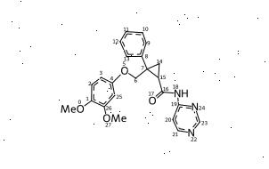 COc1ccc(OCC2(c3ccccc3)CC2C(=O)Nc2ccncn2)cc1OC